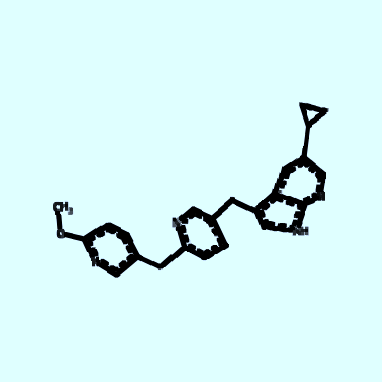 COc1ccc([CH]c2ccc(Cc3c[nH]c4ncc(C5CC5)cc34)cn2)cn1